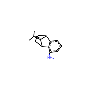 CC(C)=C1C2CCC1c1c(N)cccc12